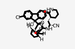 N#C[C@@H](C[C@H]1CCCNC1=O)NC(=O)[C@@H]1[C@@H]2CC[C@@H](CC2(F)F)N1C(=O)[C@@]1(O)c2ccccc2-c2ccc(Cl)cc21